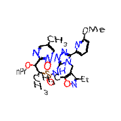 CCCO[C@@H](c1ncc(C)cn1)[C@H](C)S(=O)(=O)Nc1nnc(-c2cccc(OC)n2)n1Cc1c(CC)noc1C